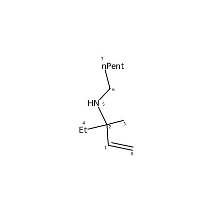 C=CC(C)(CC)NCCCCCC